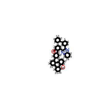 c1ccc(-c2cccc(-c3nc4ccccc4nc3-c3cccc4oc5cc(-c6cccc7c8cccc9oc%10cccc(c67)c%10c98)ccc5c34)c2)cc1